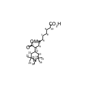 COC(=O)C(CCCCCCCC(=O)O)C1CC(C)(C)N(C)C(C)(C)C1